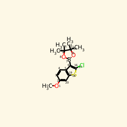 COc1ccc2c(B3OC(C)(C)C(C)(C)O3)c(Cl)sc2c1